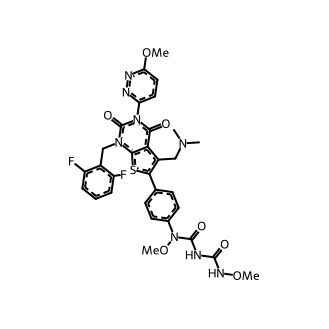 CONC(=O)NC(=O)N(OC)c1ccc(-c2sc3c(c2CN(C)C)c(=O)n(-c2ccc(OC)nn2)c(=O)n3Cc2c(F)cccc2F)cc1